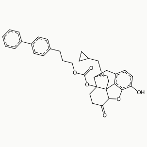 O=C(OCCCc1ccc(-c2ccccc2)cc1)OC12CCC(=O)C3Oc4c(O)ccc5c4C31CCN(CC1CC1)C2C5